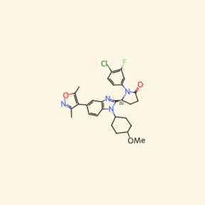 COC1CCC(n2c([C@@H]3CCC(=O)N3c3ccc(Cl)c(F)c3)nc3cc(-c4c(C)noc4C)ccc32)CC1